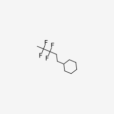 CC(F)(F)C(F)(F)CCC1CCCCC1